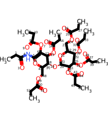 CCC(=O)NC1=C(OC(=O)CC)C(OC(=O)CC)[C@H](O[C@@H]2OC(COC(=O)CC)[C@H](OC(=O)CC)C(OC(=O)CC)C2OC(=O)CC)C(COC(=O)CC)O1